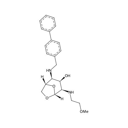 COCCN[C@H]1[C@@H]2OC[C@@H](O2)[C@@H](NCc2ccc(-c3ccccc3)cc2)[C@H]1O